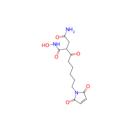 NC(=O)CC(C(=O)CCCCCN1C(=O)C=CC1=O)C(=O)NO